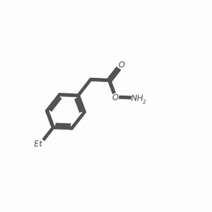 CCc1ccc(CC(=O)ON)cc1